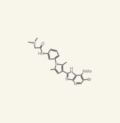 CNc1c(Br)cnc2nc(-c3cc(C)n(-c4cccc(NC(=O)CN(C)C)c4)c3C)[nH]c12